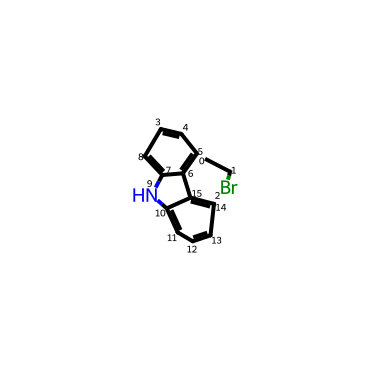 CCBr.c1ccc2c(c1)[nH]c1ccccc12